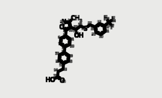 Cc1noc(-c2ccc(-c3ccc(CCC(=O)O)cc3)cc2)c1[C@H](O)CSCc1cccc(C(F)(F)F)c1